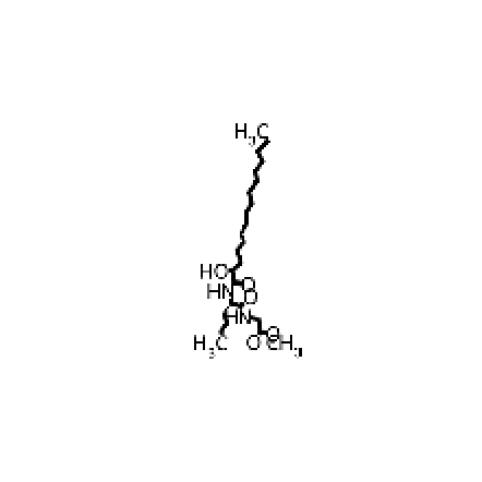 CCCCCCCCCCCCCCC(O)C(=O)N[C@@H](CCCC)C(=O)NCC(=O)OC